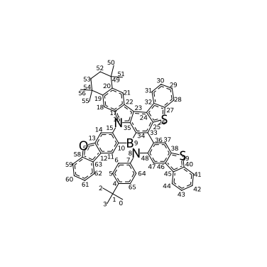 CC(C)(C)c1ccc(N2B3c4cc5c(cc4-n4c6cc7c(cc6c6c8c(sc9ccccc98)c(c3c64)-c3cc4sc6ccccc6c4cc32)C(C)(C)CCC7(C)C)oc2ccccc25)cc1